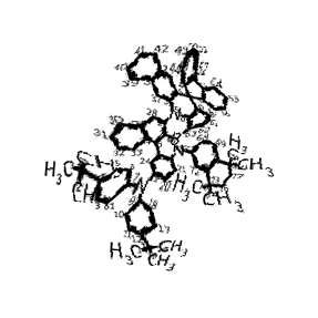 CC(C)(C)c1ccc(N(c2ccc(C(C)(C)C)cc2)c2ccc3c(c2)-c2c4c(cc5ccccc25)N2c5cc6ccccc6cc5C5(c6ccccc6-c6ccccc65)c5cccc(c52)B4N3c2ccc3c(c2)C(C)(C)CCC3(C)C)cc1